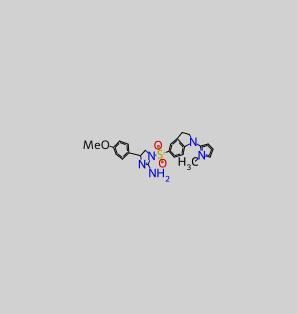 COc1ccc(C2CN(S(=O)(=O)c3ccc4c(c3)CCN4c3cccn3C)C(N)=N2)cc1